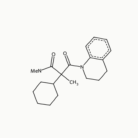 CNC(=O)C(C)(C(=O)N1CCCc2ccccc21)C1CCCCC1